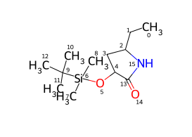 CCC1CC(O[Si](C)(C)C(C)(C)C)C(=O)N1